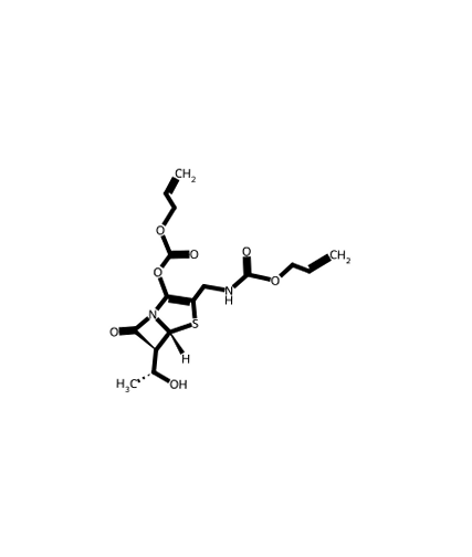 C=CCOC(=O)NCC1=C(OC(=O)OCC=C)N2C(=O)[C@H]([C@@H](C)O)[C@H]2S1